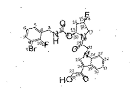 O=C(NCc1cccc(Br)c1F)O[C@H]1C[C@@H](F)CN1C(=O)Cn1cc(C(=O)CO)c2ccccc21